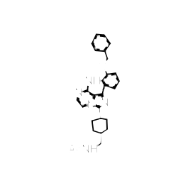 CC(=O)NC[C@H]1CC[C@@H](c2nc(-c3cccc(OCc4ccccc4)c3)c3c(N)nccn32)CC1